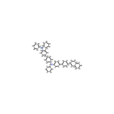 c1ccc(N(c2ccc(-c3ccc(-c4ccc5ccccc5c4)cc3)cc2)c2ccc(-c3ccc4c(c3)c3ccccc3n4-c3ccccc3)cc2)cc1